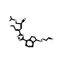 CC/C=C(\C=C(\C#N)COC(C)C)c1nnc(-c2cccc3c2CCC3NSCC=O)s1